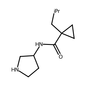 CC(C)CC1(C(=O)NC2CCNC2)CC1